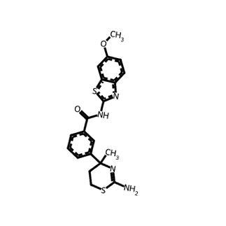 COc1ccc2nc(NC(=O)c3cccc(C4(C)CCSC(N)=N4)c3)sc2c1